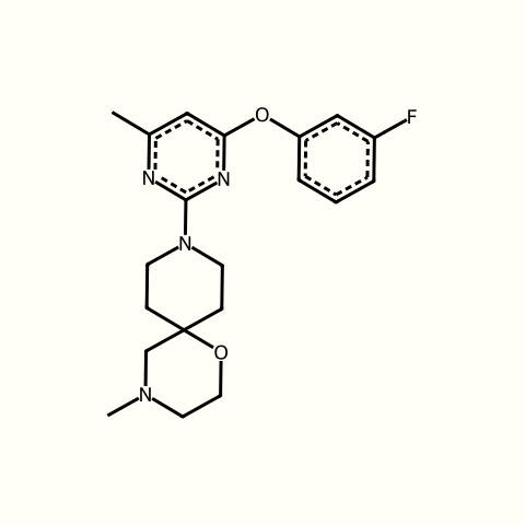 Cc1cc(Oc2cccc(F)c2)nc(N2CCC3(CC2)CN(C)CCO3)n1